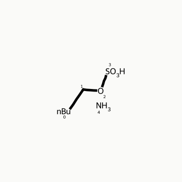 CCCCCOS(=O)(=O)O.N